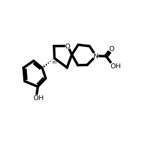 O=C(O)N1CCC2(CC1)C[C@H](c1cccc(O)c1)CO2